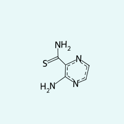 NC(=S)c1nccnc1N